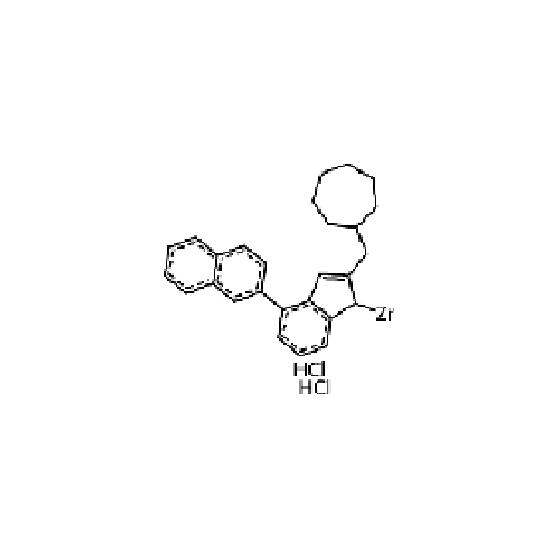 Cl.Cl.[Zr][CH]1C(CC2CCCCCC2)=Cc2c(-c3ccc4ccccc4c3)cccc21